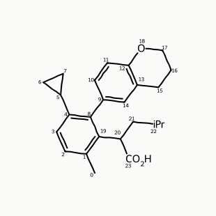 Cc1ccc(C2CC2)c(-c2ccc3c(c2)CCCO3)c1C(CC(C)C)C(=O)O